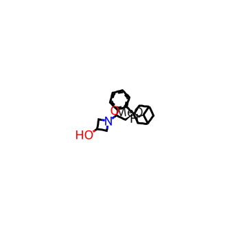 CO[C@H]1C2CC1C[C@@](CC(=O)N1CC(O)C1)(c1ccccc1)C2